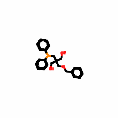 OCC(CO)(COCc1ccccc1)CP(c1ccccc1)c1ccccc1